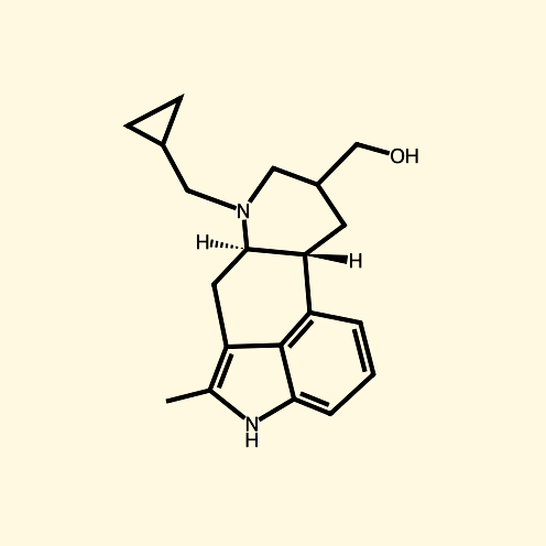 Cc1[nH]c2cccc3c2c1C[C@@H]1[C@@H]3CC(CO)CN1CC1CC1